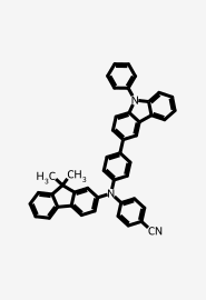 CC1(C)c2ccccc2-c2ccc(N(c3ccc(C#N)cc3)c3ccc(-c4ccc5c(c4)c4ccccc4n5-c4ccccc4)cc3)cc21